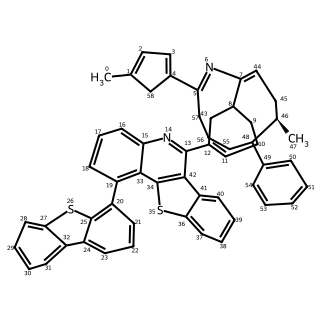 CC1=CC=C(/C2=N/C(C3CCC=C(c4nc5cccc(-c6cccc7c6sc6ccccc67)c5c5sc6ccccc6c45)C3)=C/C[C@@H](C)C(c3ccccc3)CCC2)C1